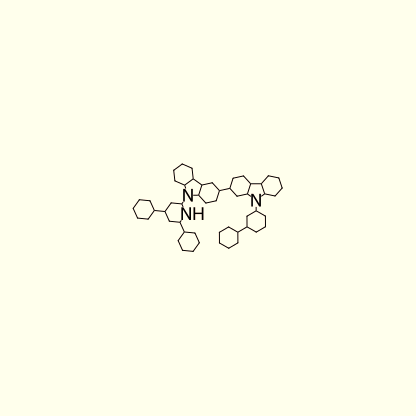 C1CCC(C2CCCC(N3C4CCCCC4C4CCC(C5CCC6C(C5)C5CCCCC5N6C5CC(C6CCCCC6)CC(C6CCCCC6)N5)CC43)C2)CC1